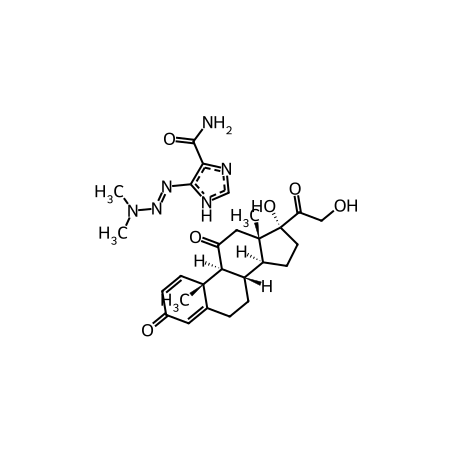 CN(C)/N=N/c1[nH]cnc1C(N)=O.C[C@]12C=CC(=O)C=C1CC[C@@H]1[C@@H]2C(=O)C[C@@]2(C)[C@H]1CC[C@]2(O)C(=O)CO